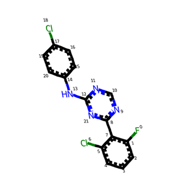 Fc1cccc(Cl)c1-c1ncnc(Nc2ccc(Cl)cc2)n1